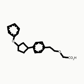 O=C(O)COCCc1ccc(C2CCC(Oc3ccccc3)C2)cc1